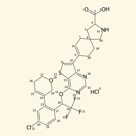 Cl.O=C(O)C1CC2(CC=C(c3csc4c(OC(c5ccc(Cl)cc5C5=CCCOC5)C(F)(F)F)ncnc34)CC2)CN1